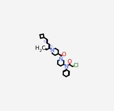 C=C/C(=C\C=C\C1CCC1)N1CCC(C(=O)N2CCCC(N(C(=O)CCl)C3=CCCC=C3)C2)CC1